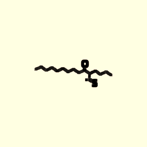 CCCCCCCCCC(=O)C([C]=S)CCCC